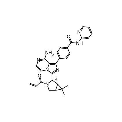 C=CC(=O)N1CC2C([C@H]1c1nc(-c3ccc(C(=O)Nc4ccccn4)cc3)c3c(N)nccn13)C2(C)C